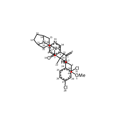 C=C(NCCOC)c1ccc(N2C3CCC2CC(NC(=O)C(C)(C)Oc2ccc(Cl)cc2Cl)C3)nc1